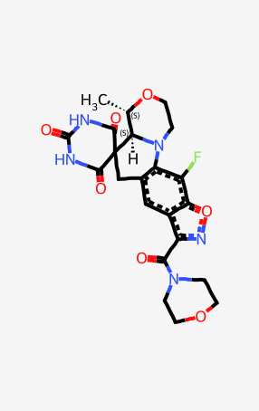 C[C@@H]1OCCN2c3c(cc4c(C(=O)N5CCOCC5)noc4c3F)CC3(C(=O)NC(=O)NC3=O)[C@@H]12